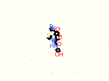 COc1cc2c(cc1-c1ccn(C)n1)-c1c(c(C(=O)NC3CCC(O)C3)nn1-c1ccsc1)CO2